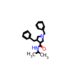 CC(C)NC(=O)C1CN(Cc2ccccc2)CC1Cc1ccccc1